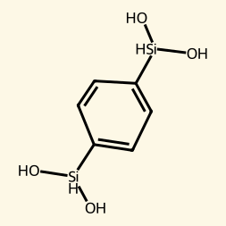 O[SiH](O)c1ccc([SiH](O)O)cc1